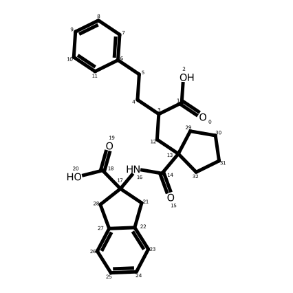 O=C(O)C(CCc1ccccc1)CC1(C(=O)NC2(C(=O)O)Cc3ccccc3C2)CCCC1